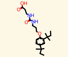 CCC(C)(C)c1ccc(OCCCNC(=O)NCCC(=O)O)c(C(C)(C)CC)c1